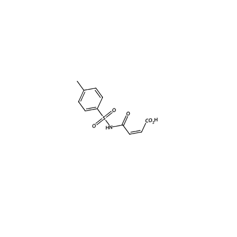 Cc1ccc(S(=O)(=O)NC(=O)/C=C\C(=O)O)cc1